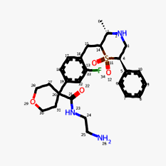 C[C@@H]1NC[C@@H](c2ccccc2)S(=O)(=O)C1Cc1ccc(C2(C(=O)NCCN)CCOCC2)cc1F